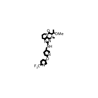 CO[C@H](C)[C@H]1C(=O)N2CCCc3nc(NCc4ccc(Oc5ccc(C(F)(F)F)nc5)nc4)nc(c32)N1C